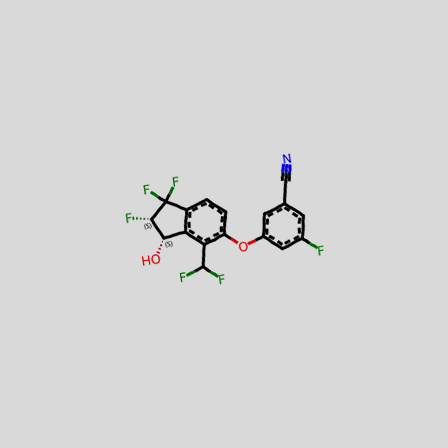 N#Cc1cc(F)cc(Oc2ccc3c(c2C(F)F)[C@H](O)[C@H](F)C3(F)F)c1